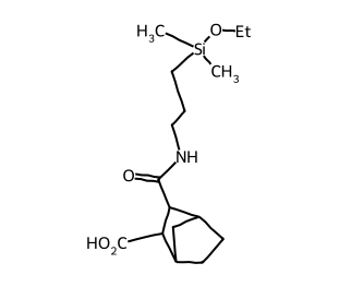 CCO[Si](C)(C)CCCNC(=O)C1C2CCC(C2)C1C(=O)O